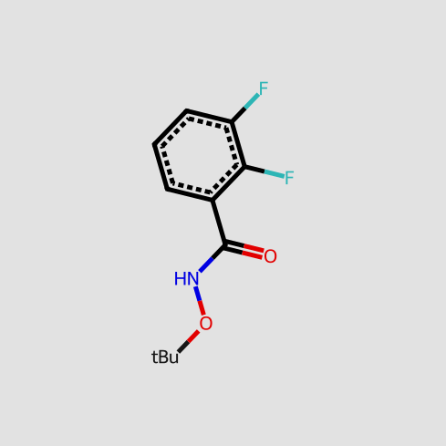 CC(C)(C)ONC(=O)c1cccc(F)c1F